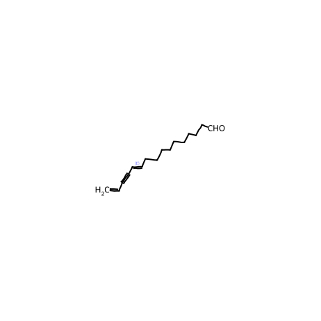 C=CC#C/C=C/CCCCCCCCCC=O